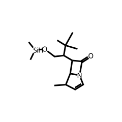 CC1C=CN2C(=O)C(C(CO[SiH](C)C)C(C)(C)C)C12